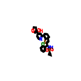 O=S(=O)(N[C@@H](c1cc2cccc(-c3cc([C@@]4(O)CCOC4)ccn3)c2s1)c1ccccc1Cl)C1CC1